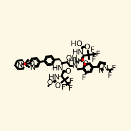 COC(=O)N[C@H](C(=O)N[C@@H](Cc1ccc(-c2ccc(N3CC4CC(C3)N4C3COC3)nc2)cc1)[C@@H](O)CN(Cc1c(F)cc(-c2ccn(C(F)F)n2)cc1F)NC(=O)[C@@H](NC(=O)O)C(C)(C)C(F)(F)F)C(C)(C)C(F)(F)F